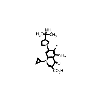 CC(C)(N)C1CCN(c2cc3c(c(N)c2F)c(=O)c(C(=O)O)cn3C2CC2)C1